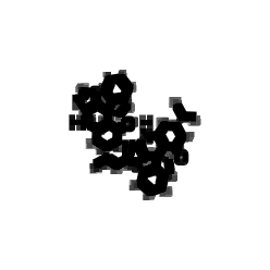 CC[C@@]1(c2ccccc2)C2=C(C[C@@H](/C(C)=C\c3nc4c(s3)[C@](CC)(c3ccccc3)C3=C(C[C@H](C(C)C)CC3=O)N4)CC2=O)Nc2ncsc21